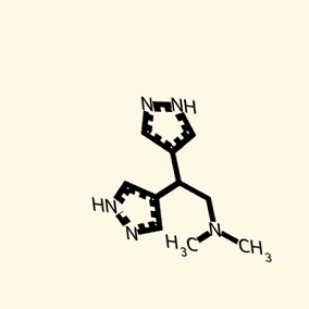 CN(C)CC(c1cn[nH]c1)c1cn[nH]c1